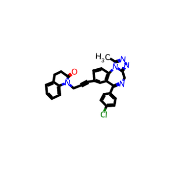 Cc1nnc2n1-c1ccc(C#CCN3C(=O)CCc4ccccc43)cc1C(c1ccc(Cl)cc1)=NC2